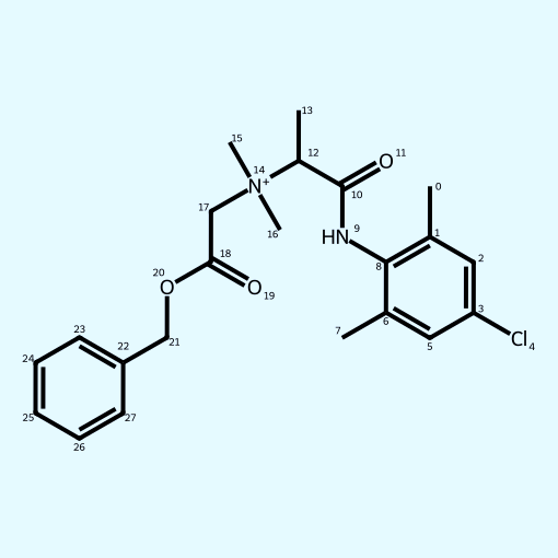 Cc1cc(Cl)cc(C)c1NC(=O)C(C)[N+](C)(C)CC(=O)OCc1ccccc1